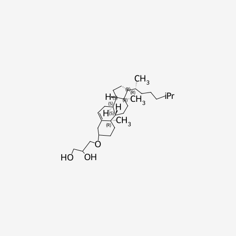 CC(C)CCC[C@@H](C)[C@H]1CC[C@H]2[C@@H]3CC=C4CC(OCC(O)CO)CC[C@]4(C)[C@H]3CC[C@]12C